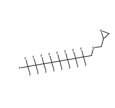 FC(F)(F)C(F)(F)C(F)(F)C(F)(F)C(F)(F)C(F)(F)C(F)(F)C(F)(F)COCC1CO1